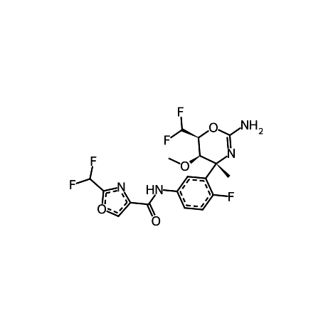 CO[C@H]1[C@@H](C(F)F)OC(N)=N[C@]1(C)c1cc(NC(=O)c2coc(C(F)F)n2)ccc1F